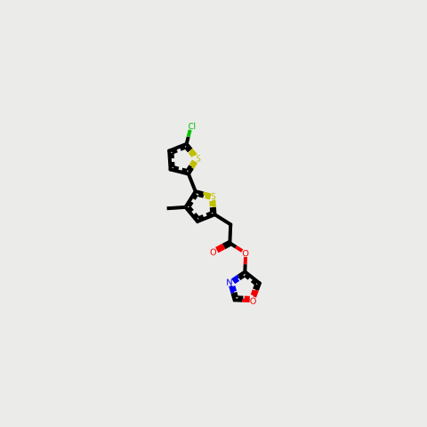 Cc1cc(CC(=O)Oc2cocn2)sc1-c1ccc(Cl)s1